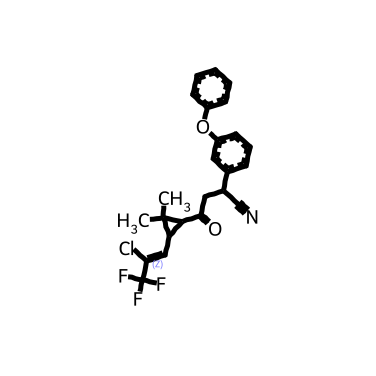 CC1(C)C(/C=C(\Cl)C(F)(F)F)C1C(=O)CC(C#N)c1cccc(Oc2ccccc2)c1